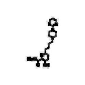 COC(=O)c1nc(CCCCN2CCN(c3ncccn3)CC2)ccc1O